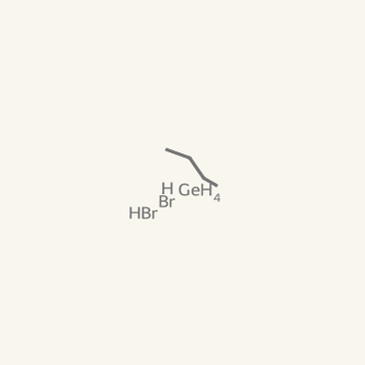 Br.Br.CCCC.[GeH4]